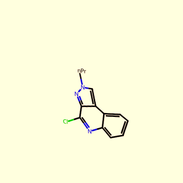 CCCn1cc2c(n1)c(Cl)nc1ccccc12